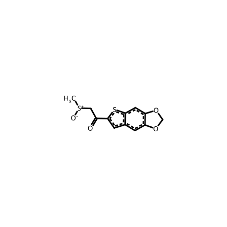 C[S+]([O-])CC(=O)c1cc2cc3c(cc2s1)OCO3